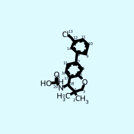 CC1(C)COc2cc(-c3cccc(Cl)c3)ccc2C1NC(=O)O